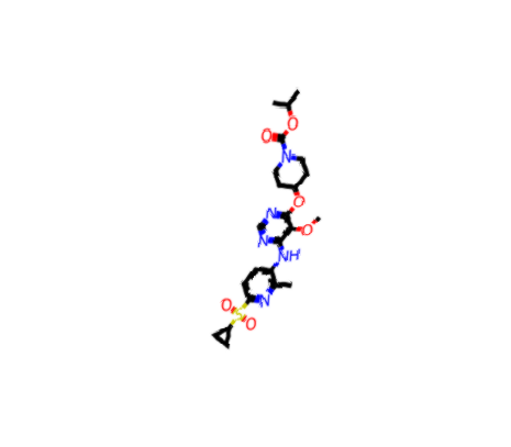 COc1c(Nc2ccc(S(=O)(=O)C3CC3)nc2C)ncnc1OC1CCN(C(=O)OC(C)C)CC1